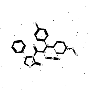 CCO[C@H]1CC[C@H]([C@H](c2ccc(Cl)cc2)[C@H](N=[N+]=[N-])C(=O)N2C(=O)OC[C@@H]2c2ccccc2)CC1